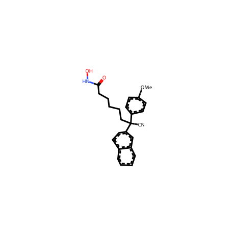 COc1ccc(C(C#N)(CCCCCC(=O)NO)c2ccc3ccccc3c2)cc1